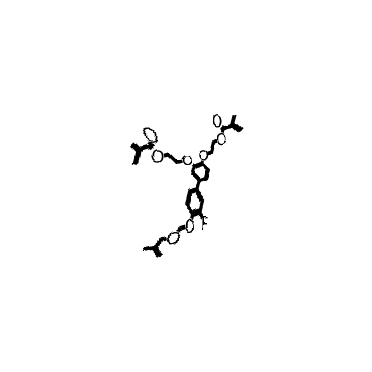 C=C(C)COCOc1ccc(-c2ccc(OCCOC(=O)C(=C)C)c(OCCOC(=O)C(=C)C)c2)cc1F